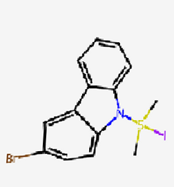 CS(C)(I)n1c2ccccc2c2cc(Br)ccc21